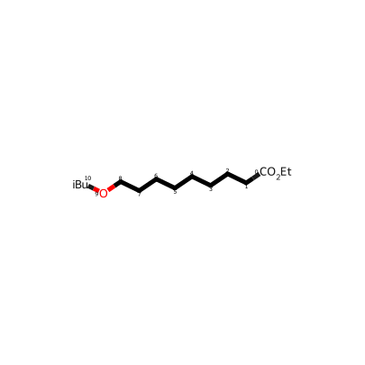 CCOC(=O)CCCCCCCCOC(C)CC